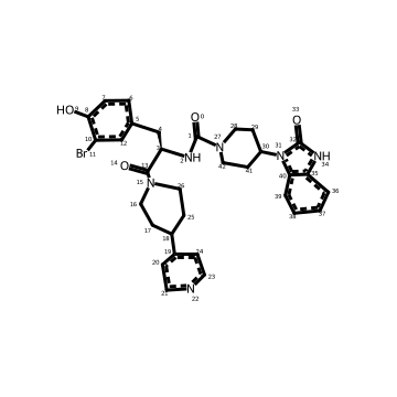 O=C(N[C@H](Cc1ccc(O)c(Br)c1)C(=O)N1CCC(c2ccncc2)CC1)N1CCC(n2c(=O)[nH]c3ccccc32)CC1